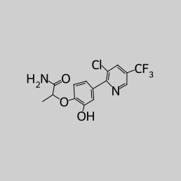 CC(Oc1ccc(-c2ncc(C(F)(F)F)cc2Cl)cc1O)C(N)=O